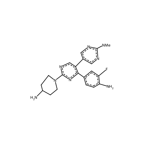 CNc1ncc(-c2cnc(N3CCC(N)CC3)nc2-c2ccc(N)c(F)c2)cn1